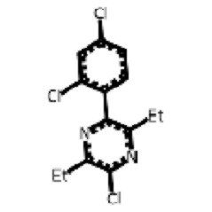 CCc1nc(-c2ccc(Cl)cc2Cl)c(CC)nc1Cl